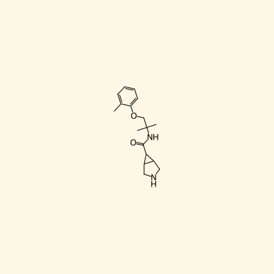 Cc1ccccc1OCC(C)(C)NC(=O)C1C2CNCC21